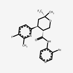 CC(=O)c1cnccc1NC(=O)[C@H]1CO[C@@](C)(C(F)(F)F)C[C@@H]1c1ccc(F)c(C)n1